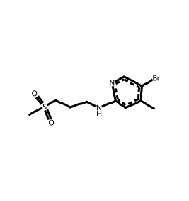 Cc1cc(NCCCS(C)(=O)=O)ncc1Br